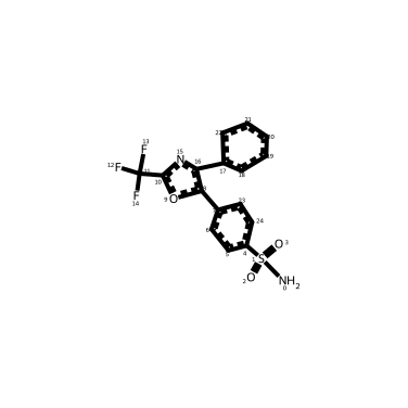 NS(=O)(=O)c1ccc(-c2oc(C(F)(F)F)nc2-c2ccccc2)cc1